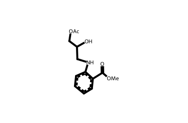 COC(=O)c1ccccc1NCC(O)COC(C)=O